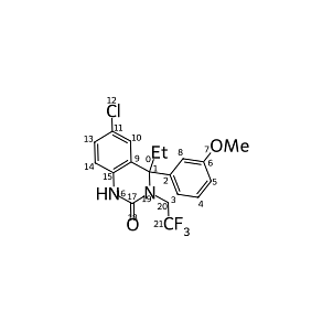 CCC1(c2cccc(OC)c2)c2cc(Cl)ccc2NC(=O)N1CC(F)(F)F